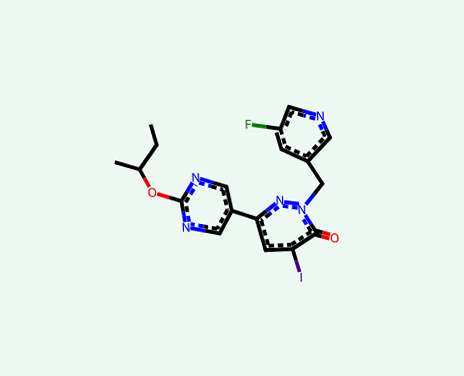 CCC(C)Oc1ncc(-c2cc(I)c(=O)n(Cc3cncc(F)c3)n2)cn1